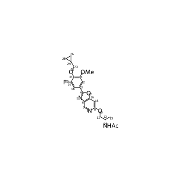 COc1cc(-c2nc3cnc(OC[C@H](C)NC(C)=O)cc3o2)cc(F)c1OCC1CC1